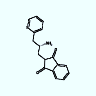 N[C@@H](Cc1ccccn1)CC1C(=O)c2ccccc2C1=O